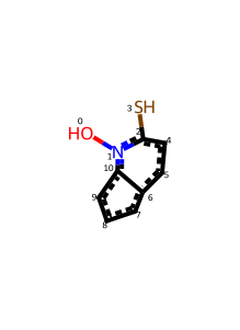 On1c(S)ccc2cccc1-2